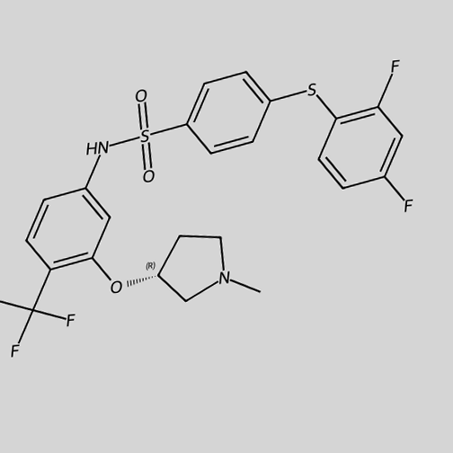 CN1CC[C@@H](Oc2cc(NS(=O)(=O)c3ccc(Sc4ccc(F)cc4F)cc3)ccc2C(F)(F)F)C1